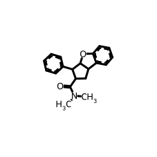 CN(C)C(=O)C1CC2c3ccccc3OC2C1c1ccccc1